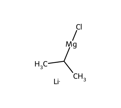 C[CH](C)[Mg][Cl].[Li]